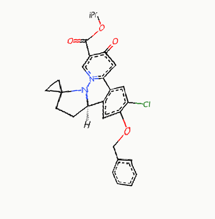 CC(C)OC(=O)c1cn2c(cc1=O)-c1cc(Cl)c(OCc3ccccc3)cc1[C@H]1CCC3(CC3)N12